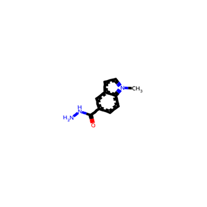 Cn1ccc2cc(C(=O)NN)ccc21